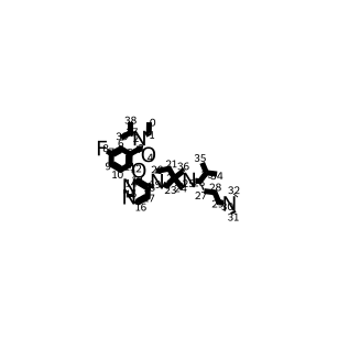 CCN(C(=O)c1cc(F)ccc1Oc1nnccc1N1CCC2(C1)CN([C@@H](CCCN(C)C)C(C)C)C2)C(C)C